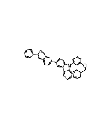 c1ccc(-c2ccc3cc(-c4ccc5c(c4)c4ccccc4n5-c4cccc5c4-c4ccccc4CO5)ccc3c2)cc1